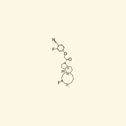 C[C@H]1CCCC2CC[C@@]3(C)C(CC[C@@H]3C(=O)COc3ccc(C#N)c(F)c3)[C@@H]2CC[C@@H](F)C1